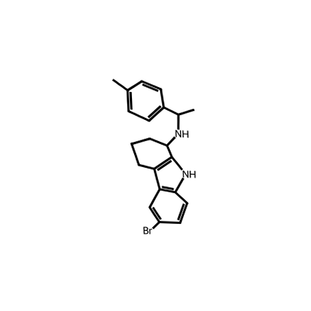 Cc1ccc(C(C)NC2CCCc3c2[nH]c2ccc(Br)cc32)cc1